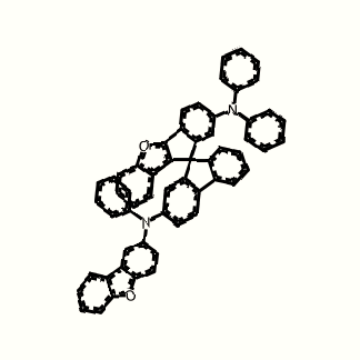 c1ccc(N(c2ccccc2)c2ccc3c(c2)C2(c4ccccc4-c4ccc(N(c5ccccc5)c5ccc6oc7ccccc7c6c5)cc42)c2c-3oc3ccccc23)cc1